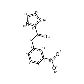 O=C(Cc1cccc([N+](=O)[O-])c1)c1nccs1